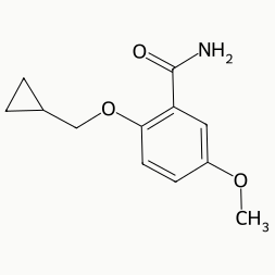 COc1ccc(OCC2CC2)c(C(N)=O)c1